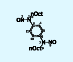 CCCCCCCCN(N=O)c1ccc(N(CCCCCCCC)N=O)cc1